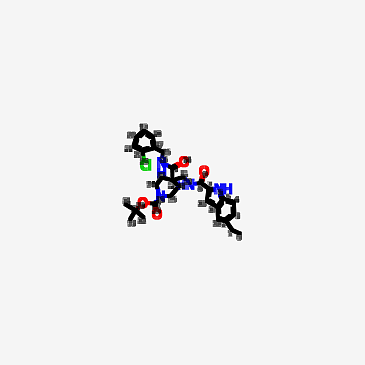 CCc1ccc2[nH]c(C(=O)NCC3(C(=O)NCc4ccccc4Cl)CCN(C(=O)OC(C)(C)C)CC3)cc2c1